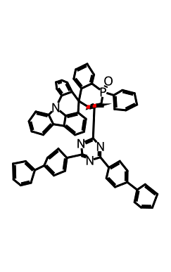 O=P1(c2ccccc2)c2ccccc2C2(c3ccccc3-n3c4ccccc4c4cccc2c43)c2cc(-c3nc(-c4ccc(-c5ccccc5)cc4)nc(-c4ccc(-c5ccccc5)cc4)n3)ccc21